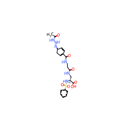 CC(=O)NNN=C1C=CC(C(=O)NCCC(=O)NC[C@H](NS(=O)(=O)c2ccccc2)C(=O)O)=CC1